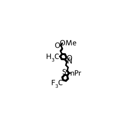 CCCc1c(CCc2noc3cc(C=CC(=O)OC)c(C)cc23)sc2cc(C(F)(F)F)ccc12